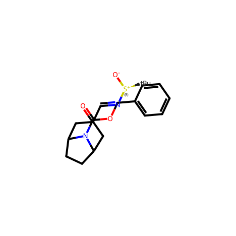 CC(C)(C)[S@+]([O-])N=CC1CC2CCC(C1)N2C(=O)OCc1ccccc1